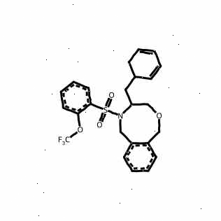 O=S(=O)(c1ccccc1OC(F)(F)F)N1Cc2ccccc2COCC1CC1C=CC=CC1